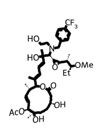 CC[C@H](OC)[C@@H](C)[C@H]1O[C@@H]1C(N(CCO)Cc1ccc(C(F)(F)F)cc1)C(C)(O)/C=C/C=C(\C)C1OC(=O)C[C@H](O)CC[C@@](C)(O)[C@@H](OC(C)=O)/C=C/[C@@H]1C